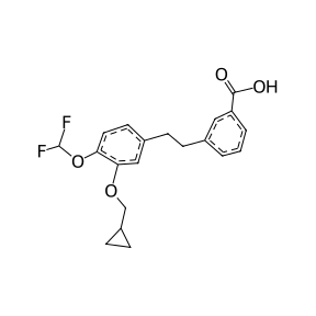 O=C(O)c1cccc(CCc2ccc(OC(F)F)c(OCC3CC3)c2)c1